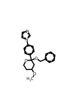 COC1CCOC(OCc2ccccc2)(c2ccc(-n3ccnc3)cc2)C1